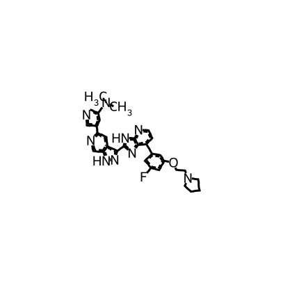 CN(C)c1cncc(-c2cc3c(-c4nc5c(-c6cc(F)cc(OCCN7CCCC7)c6)ccnc5[nH]4)n[nH]c3cn2)c1